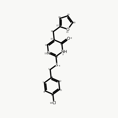 O=c1[nH]c(SCc2ccc(Cl)cc2)ncc1Cc1ccco1